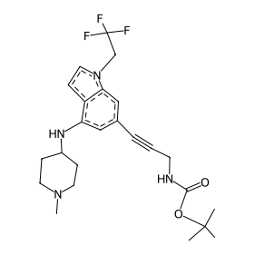 CN1CCC(Nc2cc(C#CCNC(=O)OC(C)(C)C)cc3c2ccn3CC(F)(F)F)CC1